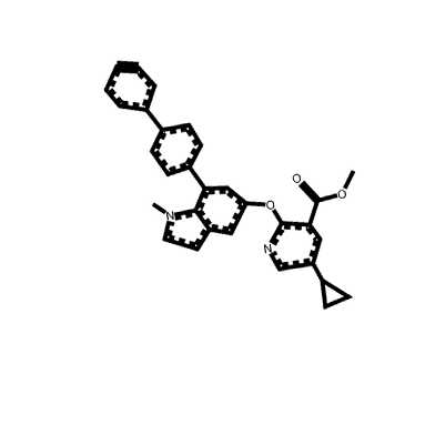 COC(=O)c1cc(C2CC2)cnc1Oc1cc(-c2ccc(-c3cc#ccc3)cc2)c2c(ccn2C)c1